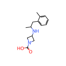 Cc1ccccc1CC(C)NC1CN(C(=O)O)C1